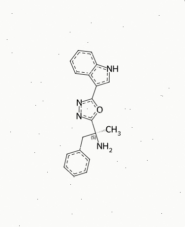 C[C@](N)(Cc1ccccc1)c1nnc(-c2c[nH]c3ccccc23)o1